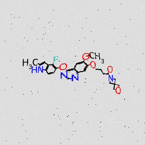 COc1cc2c(Oc3ccc4[nH]c(C)cc4c3F)ncnc2cc1OCCCC(=O)N1CC2(COC2)C1